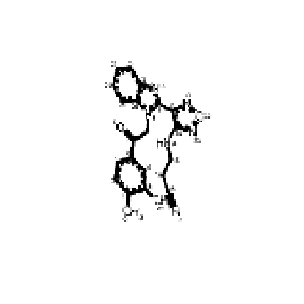 Cc1ccc(C(=O)Cn2c(-c3nonc3NCCC#N)nc3ccccc32)cc1C